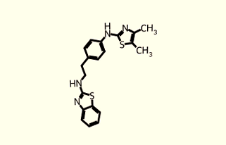 Cc1nc(Nc2ccc(CCNc3nc4ccccc4s3)cc2)sc1C